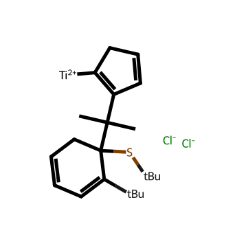 CC(C)(C)SC1(C(C)(C)C2=[C]([Ti+2])CC=C2)CC=CC=C1C(C)(C)C.[Cl-].[Cl-]